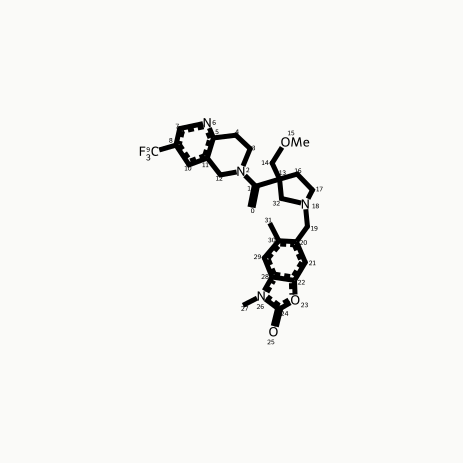 C=C(N1CCc2ncc(C(F)(F)F)cc2C1)C1(COC)CCN(Cc2cc3oc(=O)n(C)c3cc2C)C1